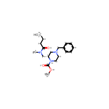 CC(C)N(C[C@@H]1CN(Cc2ccccc2)CCN1C(=O)OC(C)(C)C)C(=O)CCC(=O)O